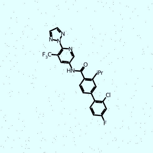 CC(C)c1cc(-c2ccc(F)cc2Cl)ccc1C(=O)Nc1cnc(-n2nccn2)c(C(F)(F)F)c1